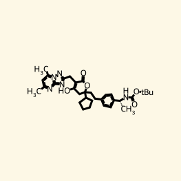 Cc1cc(C)n2nc(CC3=C(O)CC(CCc4ccc([C@@H](C)NC(=O)OC(C)(C)C)cc4)(C4CCCC4)OC3=O)nc2n1